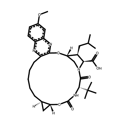 COc1ccc2nc3c(nc2c1)O[C@H]1CN(C(=O)[C@H](C(C)(C)C)NC(=O)O[C@@H]2C[C@H]2CCCCC3)[C@H](C(=O)O)[C@@H]1CC(C)C